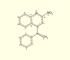 C=C(c1ccccc1)c1cc([N+](=O)[O-])nc2ccccc12